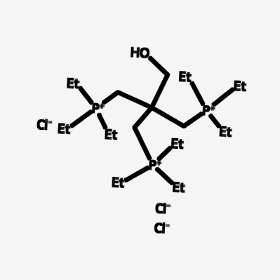 CC[P+](CC)(CC)CC(CO)(C[P+](CC)(CC)CC)C[P+](CC)(CC)CC.[Cl-].[Cl-].[Cl-]